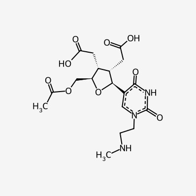 CNCCn1cc([C@H]2O[C@@H](COC(C)=O)[C@H](CC(=O)O)[C@@H]2CC(=O)O)c(=O)[nH]c1=O